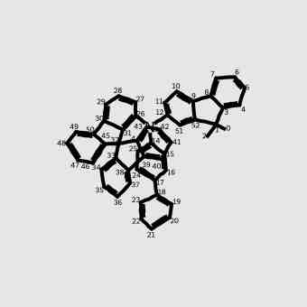 CC1(C)c2ccccc2-c2ccc(N(c3ccc(-c4ccccc4)cc3)c3cccc4c3C3(c5ccccc5-c5ccccc53)c3ccccc3-4)cc21